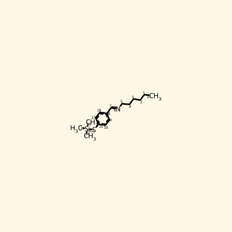 CCCCCCN=Cc1ccc(S[Si](C)(C)C)cc1